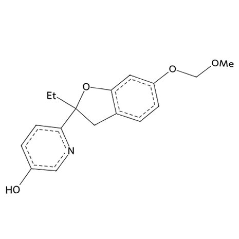 CCC1(c2ccc(O)cn2)Cc2ccc(OCOC)cc2O1